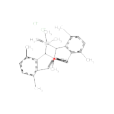 CC1=Cc2c(C)ccc(C)c2[CH]1[Ti+2]([CH3])([CH3])(=[SiH2])[CH]1C(C)=Cc2c(C)ccc(C)c21.[Cl-].[Cl-]